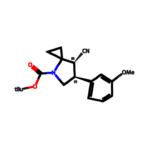 COc1cccc([C@H]2CN(C(=O)OC(C)(C)C)C3(CC3)[C@@H]2C#N)c1